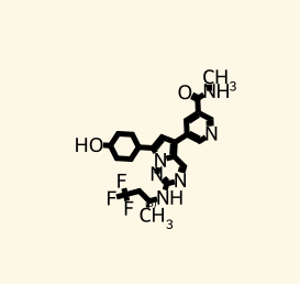 CNC(=O)c1cncc(-c2cc(C3CCC(O)CC3)n3nc(N[C@@H](C)CC(F)(F)F)ncc23)c1